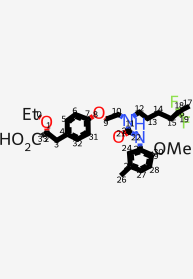 CCOC(Cc1ccc(OCCN(CCCCC(C)(F)F)C(=O)Nc2cc(C)ccc2OC)cc1)C(=O)O